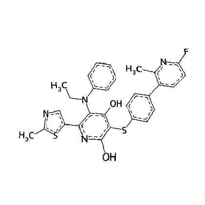 CCN(c1ccccc1)c1c(-c2cnc(C)s2)nc(O)c(Sc2ccc(-c3ccc(F)nc3C)cc2)c1O